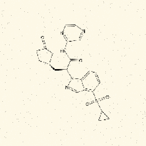 O=C1CC[C@H](C[C@@H](C(=O)Nc2cnccn2)n2ncc3c(S(=O)(=O)C4CC4)cccc32)C1